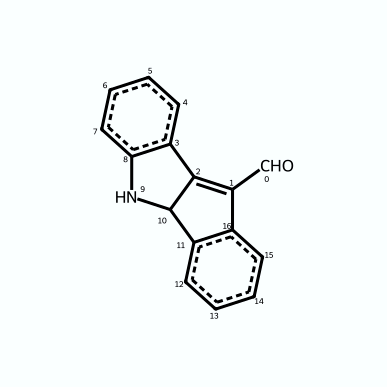 O=CC1=C2c3ccccc3NC2c2ccccc21